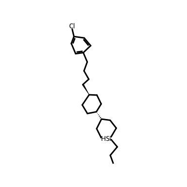 CCC[SiH]1CCC([C@H]2CC[C@H](CCCCc3ccc(Cl)cc3)CC2)CC1